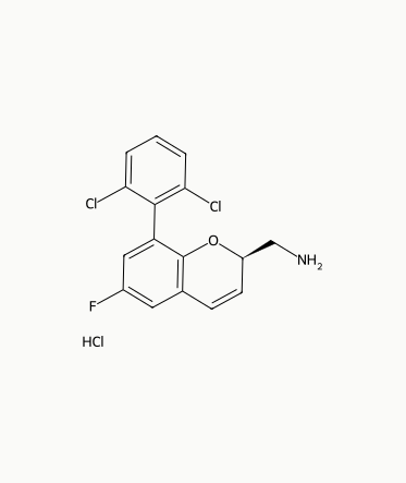 Cl.NC[C@H]1C=Cc2cc(F)cc(-c3c(Cl)cccc3Cl)c2O1